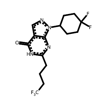 O=c1[nH]c(CCCC(F)(F)F)nc2c1cnn2C1CCC(F)(F)CC1